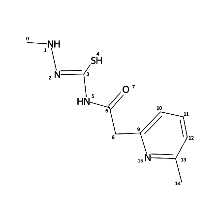 CN/N=C(\S)NC(=O)Cc1cccc(C)n1